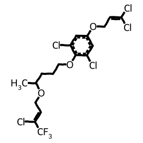 CC(CCCOc1c(Cl)cc(OCC=C(Cl)Cl)cc1Cl)OCC=C(Cl)C(F)(F)F